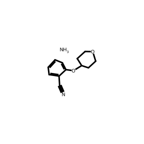 N.N#Cc1ccccc1OC1CCOCC1